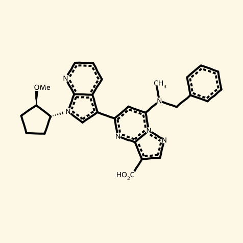 CO[C@@H]1CCC[C@H]1n1cc(-c2cc(N(C)Cc3ccccc3)n3ncc(C(=O)O)c3n2)c2cccnc21